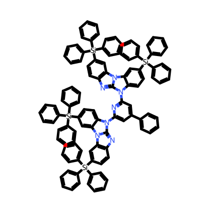 c1ccc(-c2cc(-n3c4ccc([Si](c5ccccc5)(c5ccccc5)c5ccccc5)cc4n4c5cc([Si](c6ccccc6)(c6ccccc6)c6ccccc6)ccc5nc34)nc(-n3c4ccc([Si](c5ccccc5)(c5ccccc5)c5ccccc5)cc4n4c5cc([Si](c6ccccc6)(c6ccccc6)c6ccccc6)ccc5nc34)c2)cc1